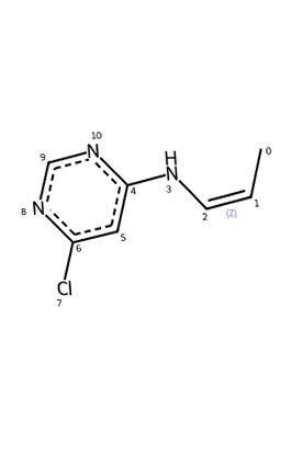 C/C=C\Nc1cc(Cl)ncn1